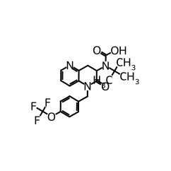 CC(C)(C)N(C(=O)O)C1Cc2ncccc2N(Cc2ccc(OC(F)(F)F)cc2)C1=O